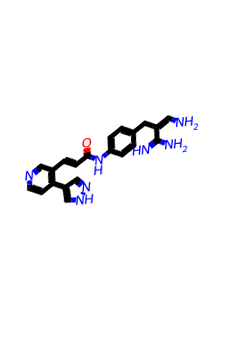 N=C(N)/C(=C\N)Cc1ccc(NC(=O)/C=C/c2cnccc2-c2cn[nH]c2)cc1